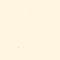 O=C(O)C=Cc1ccc(C=CC(=O)O)c2c1OCO2